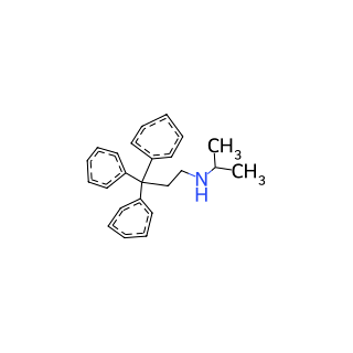 CC(C)NCCC(c1ccccc1)(c1ccccc1)c1ccccc1